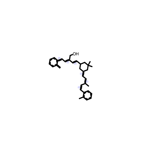 C=c1cccc/c1=C/C=C(/C=C/C1C/C(=C/C=C(C)\C=C/c2ccccc2C)CC(C)(C)C1)CO